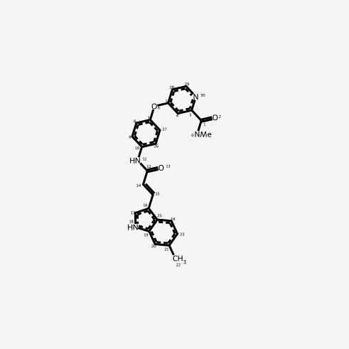 CNC(=O)c1cc(Oc2ccc(NC(=O)C=Cc3c[nH]c4cc(C)ccc34)cc2)ccn1